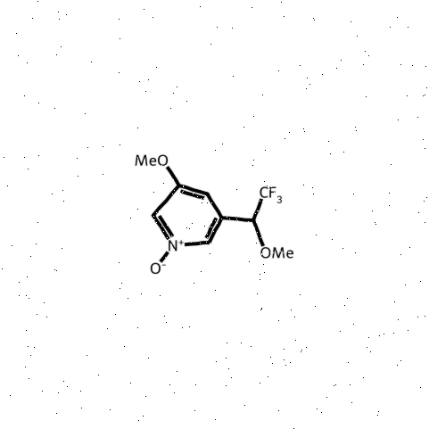 COc1cc(C(OC)C(F)(F)F)c[n+]([O-])c1